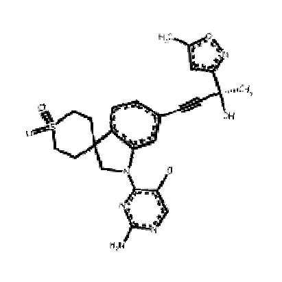 Cc1cc([C@@](C)(O)C#Cc2ccc3c(c2)N(c2nc(N)ncc2Cl)CC32CCS(=O)(=O)CC2)no1